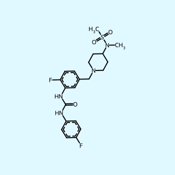 CN(C1CCN(Cc2ccc(F)c(NC(=O)Nc3ccc(F)cc3)c2)CC1)S(C)(=O)=O